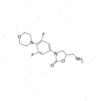 NCC1CN(c2cc(F)c(N3CCOCC3)c(F)c2)C(=O)O1